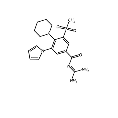 CS(=O)(=O)c1cc(C(=O)N=C(N)N)cc(-n2cccc2)c1N1CCCCC1